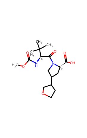 COC(=O)N[C@H](C(=O)N1CC(C2CCOC2)C[C@H]1C(=O)O)C(C)(C)C